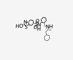 C[C@@H](CC1CCCCC1)NCc1ccccc1NS(=O)(=O)c1ccc2nc(O)sc2c1